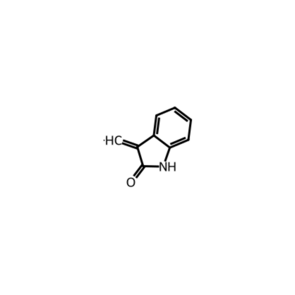 [CH]=C1C(=O)Nc2ccccc21